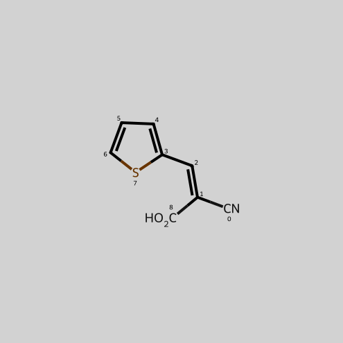 N#CC(=Cc1cccs1)C(=O)O